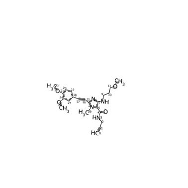 C#CCNC(=O)c1c(NCCCOC)nc(C#Cc2ccc(OC)c(OC)c2)n1C